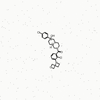 O=C(c1cccc(N2CCC23COC3)c1Cl)N1CCN2C[C@@](O)(c3ccc(Cl)cc3)CC[C@@H]2C1